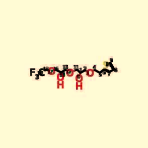 OC(COCCc1cccs1)COCC(O)COCC(F)(F)F